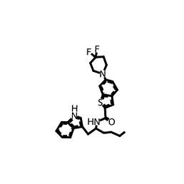 CCCCC(Cc1c[nH]c2ccccc12)NC(=O)c1cc2ccc(N3CCC(F)(F)CC3)cc2s1